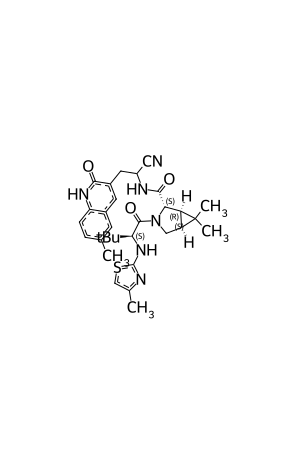 Cc1ccc2[nH]c(=O)c(CC(C#N)NC(=O)[C@@H]3[C@@H]4[C@H](CN3C(=O)[C@@H](Nc3nc(C)cs3)C(C)(C)C)C4(C)C)cc2c1